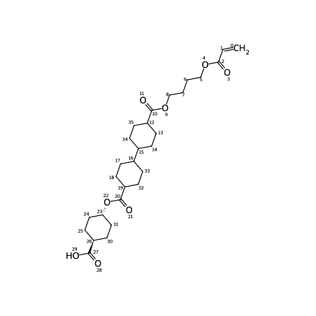 C=CC(=O)OCCCCOC(=O)C1CCC(C2CCC(C(=O)O[C@H]3CC[C@H](C(=O)O)CC3)CC2)CC1